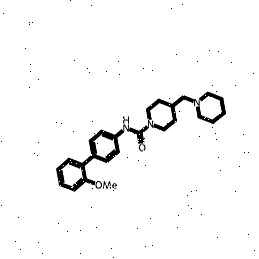 COc1ccccc1-c1ccc(NC(=O)N2CCC(CN3CCCCC3)CC2)cc1